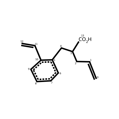 C=CCC(Cc1ccccc1C=C)C(=O)O